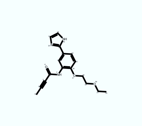 CC#CC(=O)Nc1cc(-c2ncc[nH]2)ccc1OCCOCC